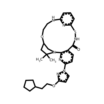 CC1(C)CC2CN1c1nc(-n3ccc(OCCC4CCCC4)n3)ccc1C(=O)NSc1cccc(n1)NCCO2